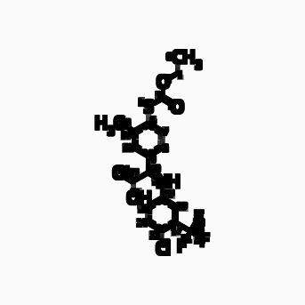 CCOC(=O)Sc1ccc(C(Nc2ccc(Cl)c(C(F)(F)F)c2)C(=O)O)cc1C